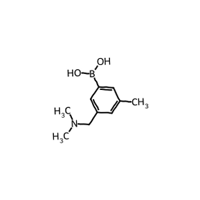 Cc1cc(CN(C)C)cc(B(O)O)c1